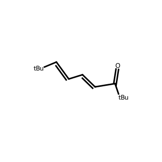 CC(C)(C)/C=C/C=C/C(=O)C(C)(C)C